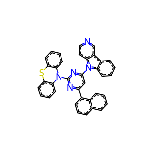 c1ccc2c(c1)Sc1ccccc1N2c1nc(-c2cccc3ccccc23)cc(-n2c3ccccc3c3cnccc32)n1